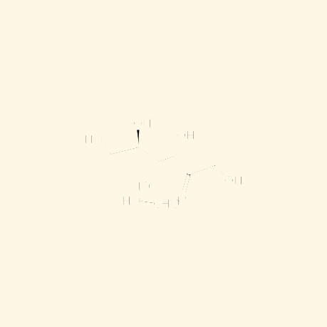 O=C(CO)[C@@H](O)[C@H](O)[C@H](O)CO.O=CO